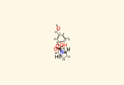 COCc1cc(C)cc(O[C@H]2C[C@H]3CC[C@@H](C2)N3C(=O)O)c1